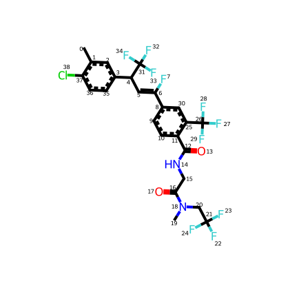 Cc1cc(C(/C=C(\F)c2ccc(C(=O)NCC(=O)N(C)CC(F)(F)F)c(C(F)(F)F)c2)C(F)(F)F)ccc1Cl